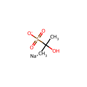 CC(C)(O)S(=O)(=O)[O-].[Na+]